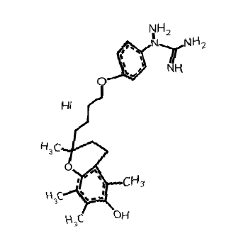 Cc1c(C)c2c(c(C)c1O)CCC(C)(CCCCOc1ccc(N(N)C(=N)N)cc1)O2.I